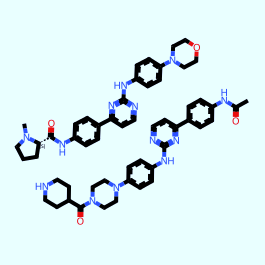 CC(=O)Nc1ccc(-c2ccnc(Nc3ccc(N4CCN(C(=O)C5CCNCC5)CC4)cc3)n2)cc1.CN1CCC[C@H]1C(=O)Nc1ccc(-c2ccnc(Nc3ccc(N4CCOCC4)cc3)n2)cc1